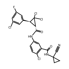 N#CC1(NC(=O)c2cc(NC(=O)[C@@H]3[C@@H](c4cc(F)cc(Cl)c4)C3(Cl)Cl)ccc2Cl)CC1